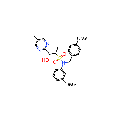 COc1ccc(CN(c2cccc(OC)c2)S(=O)(=O)[C@H](C)[C@H](O)c2ncc(C)cn2)cc1